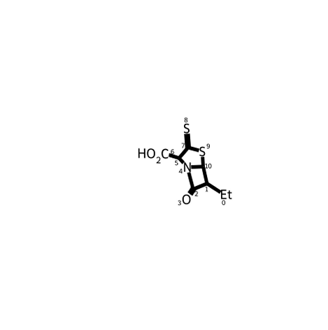 CCC1C(=O)N2C(C(=O)O)C(=S)SC12